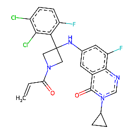 C=CC(=O)N1CC(Nc2cc(F)c3ncn(C4CC4)c(=O)c3c2)(c2c(F)ccc(Cl)c2Cl)C1